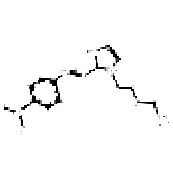 CN(C)c1ccc(/N=N/C2SC=CN2CCCCN)cc1